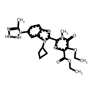 CCOC(=O)c1nc(-c2nc3ccc(N4NNN=C4C)cc3n2C2CCC2)n(C)c(=O)c1OCC